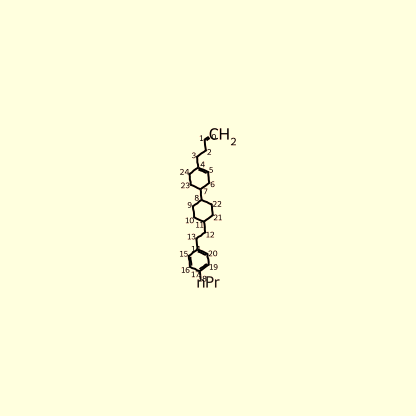 C=CCCC1=CCC(C2CCC(CCc3ccc(CCC)cc3)CC2)CC1